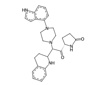 O=C1CC[C@@H](C(=O)C(C2CCc3ccccc3N2)N2CCN(c3cccc4[nH]ccc34)CC2)N1